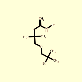 C=C(CC(C)(C)COCC(C)(C)CC)NCC